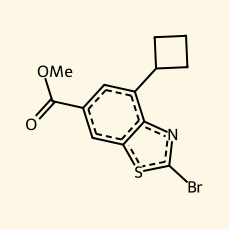 COC(=O)c1cc(C2CCC2)c2nc(Br)sc2c1